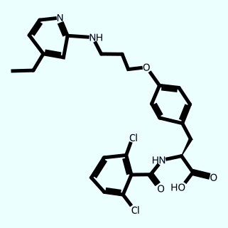 CCc1ccnc(NCCCOc2ccc(C[C@H](NC(=O)c3c(Cl)cccc3Cl)C(=O)O)cc2)c1